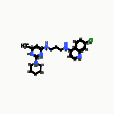 Cc1cc(NCCCNc2ccnc3cc(Cl)ccc23)nc(N2CCCCC2)n1